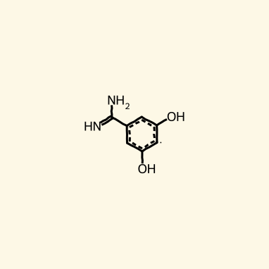 N=C(N)c1cc(O)[c]c(O)c1